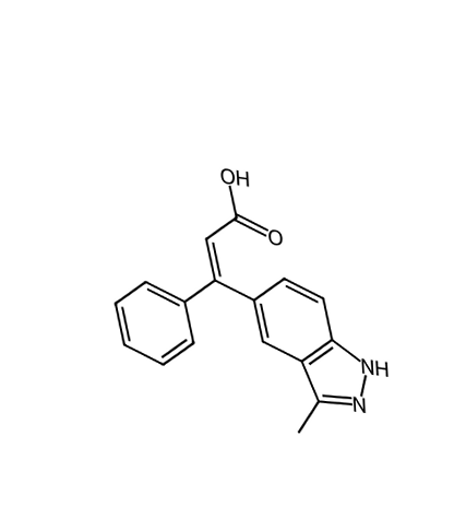 Cc1n[nH]c2ccc(/C(=C\C(=O)O)c3ccccc3)cc12